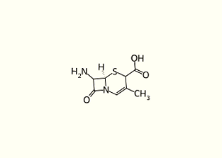 CC1=CN2C(=O)C(N)[C@H]2SC1C(=O)O